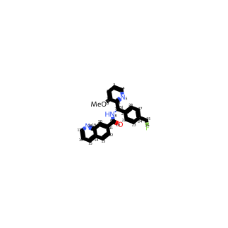 COc1cccnc1[C@@H](NC(=O)c1ccc2cccnc2c1)c1ccc(CF)cc1